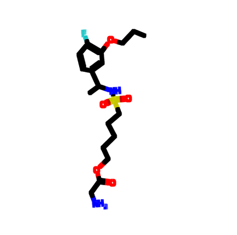 CCCOc1cc(C(C)NS(=O)(=O)CCCCCOC(=O)CN)ccc1F